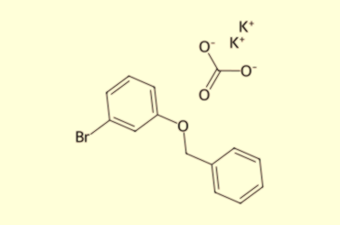 Brc1cccc(OCc2ccccc2)c1.O=C([O-])[O-].[K+].[K+]